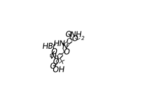 Br.CCOc1cc2c(cc1C(N)=O)C(=N)N(CC(=O)c1cc(N3CCCC3=O)c(OCC(=O)O)c(C(C)(C)C)c1)C2